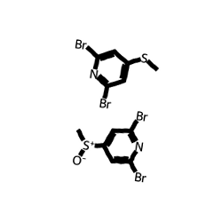 CSc1cc(Br)nc(Br)c1.C[S+]([O-])c1cc(Br)nc(Br)c1